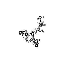 COc1cc2c(cc1OCc1cc(COc3cc4c(cc3OC)C(=O)N3c5ccccc5CC3CN4)cc(NC(=O)CCC(C)(C)SSCCC(C(=O)NCCN3C(=O)C=CC3=O)S(=O)(=O)O)c1)N=CC1Cc3ccccc3N1C2=O